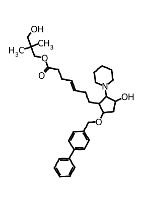 CC(C)(CO)COC(=O)CCC=CCCC1C(OCc2ccc(-c3ccccc3)cc2)CC(O)C1N1CCCCC1